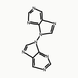 c1ncc2ncn(-n3cnc4cncnc43)c2n1